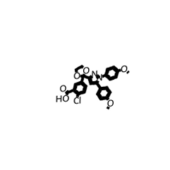 COc1ccc(-c2cc(C3(c4ccc(Cl)c(C(=O)O)c4)OCCO3)nn2-c2ccc(OC)cc2)cc1